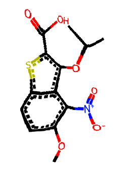 COc1ccc2sc(C(=O)O)c(OC(C)C)c2c1[N+](=O)[O-]